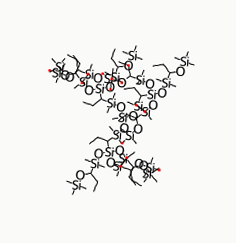 CCC(O[Si](C)(C)C)[Si](C)(C)O[Si](O[Si](C)(C)C(CC)O[Si](C)(C)C)(O[Si](C)(C)C(CC)O[Si](C)(C)C)C(CC)[Si](C)(C)O[Si](C)(O[Si](C)(C)C(CC)[Si](O[Si](C)(C)C(CC)O[Si](C)(C)C)(O[Si](C)(C)C(CC)O[Si](C)(C)C)O[Si](C)(C)C(CC)O[Si](C)(C)C)O[Si](C)(C)C(CC)[Si](O[Si](C)(C)C(CC)O[Si](C)(C)C)(O[Si](C)(C)C(CC)O[Si](C)(C)C)O[Si](C)(C)C(CC)O[Si](C)(C)C